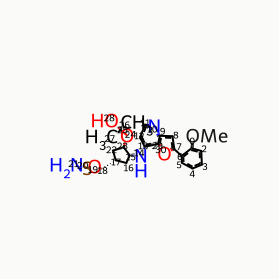 COc1ccccc1-c1cc2nccc(N[C@@H]3C[C@H](COSN)CC3OC(C)(C)O)c2o1